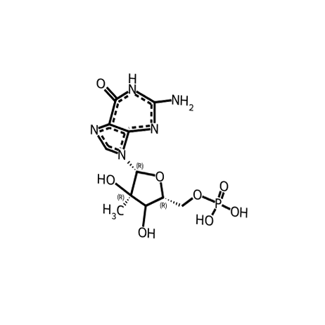 C[C@@]1(O)C(O)[C@@H](COP(=O)(O)O)O[C@H]1n1cnc2c(=O)[nH]c(N)nc21